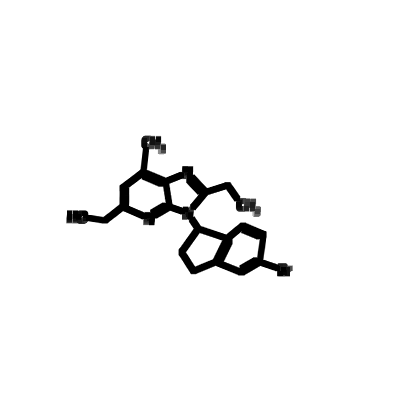 CCc1nc2c(C)cc(CO)nc2n1C1CCc2cc(Br)ccc21